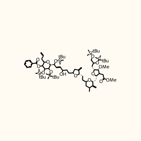 C=CCC1O[C@@H](C(/C=C/C(O)CCC2CC(=C)[C@H](CCC3CC(C)C(=C)[C@@H](C[C@@H]4O[C@H](CC(CO[Si](C)(C)C(C)(C)C)O[Si](C)(C)C(C)(C)C)[C@H](OC)C4CC(=O)OC)O3)O2)O[Si](C)(C)C(C)(C)C)C(O[Si](C)(C)C(C)(C)C)C(O[Si](C)(C)C(C)(C)C)C1OC(=O)c1ccccc1